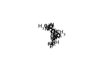 Cc1cccc2c1n(-c1ncc(-c3cncc4c3cnn4C)cn1)c(=O)n2CC(=O)NCC(F)(F)F